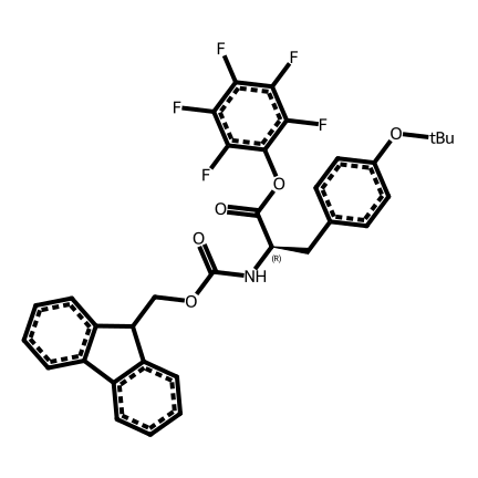 CC(C)(C)Oc1ccc(C[C@@H](NC(=O)OCC2c3ccccc3-c3ccccc32)C(=O)Oc2c(F)c(F)c(F)c(F)c2F)cc1